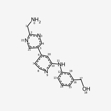 NCc1ncc(-c2ccnc(Nc3cccc(CO)c3)c2)cn1